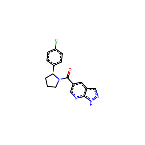 O=C(c1cnc2[nH]ncc2c1)N1CCC[C@H]1c1ccc(Cl)cc1